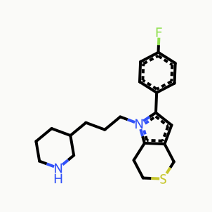 Fc1ccc(-c2cc3c(n2CCCC2CCCNC2)CCSC3)cc1